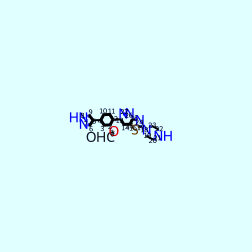 O=COc1cc(-c2cn[nH]c2)ccc1-c1cc2sc(N3CCNCC3)nc2nn1